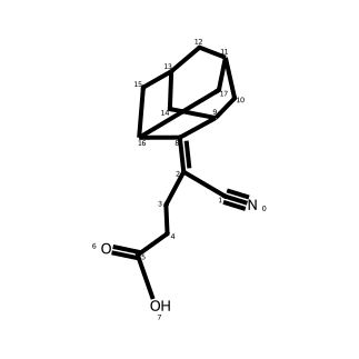 N#CC(CCC(=O)O)=C1C2CC3CC(C2)CC1C3